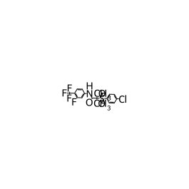 CC(C)(C(=O)Nc1ccc(C(F)(F)F)c(F)c1)S(=O)(=O)c1ccc(Cl)cc1